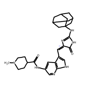 CN1CCC(C(=O)Nc2cnc3[nH]cc(/C=C4/N=C(NC56CC7CC(CC(C7)C5)C6)NC4=O)c3c2)CC1